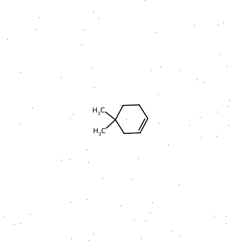 CC1(C)[CH]CC=CC1